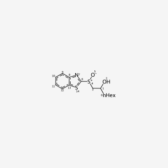 CCCCCCC(O)C[S+]([O-])c1nc2ccccc2s1